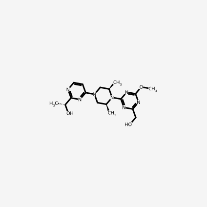 COc1nc(CO)nc(N2[C@H](C)CN(c3ccnc([C@@H](C)O)n3)C[C@@H]2C)n1